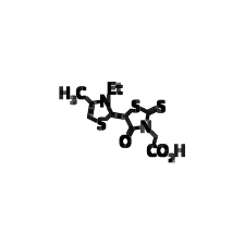 CCN1C(C)=CSC1=C1SC(=S)N(CC(=O)O)C1=O